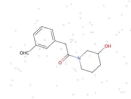 O=Cc1cccc(CC(=O)N2CCCC(O)C2)c1